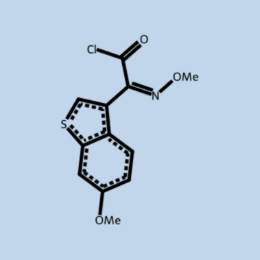 CON=C(C(=O)Cl)c1csc2cc(OC)ccc12